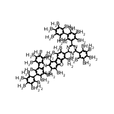 Bc1c(B)c(B)c(C2=NC(c3c(B)c(B)c(B)c(-c4c(B)c(B)c(B)c(B)c4B)c3B)=NC(c3c(B)c(B)c4c(oc5c(B)c(B)c(-n6c7c(B)c(B)c(B)c(B)c7c7c(B)c(-c8c(B)c(B)c(B)c(B)c8B)c(B)c(B)c76)c(O)c54)c3B)N2)c(B)c1B